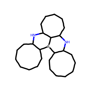 C1CCCC2NC3CCCCCC4NC5CCCCCCCC5B(C2CCC1)C34